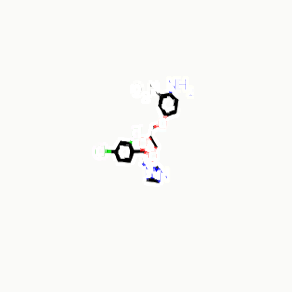 Nc1ccc(OC[C@@H]2CO[C@@](Cn3ccnc3)(c3ccc(Cl)cc3Cl)O2)cc1[N+](=O)[O-]